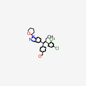 CC/C(=C(/c1ccc(C=O)cc1)c1ccc2c(cnn2C2CCCCO2)c1)c1ccc(Cl)cc1Cl